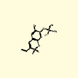 C=CC1=Cc2cc(C(C)=O)c(O[Si](C(C)C)(C(C)C)C(C)C)cc2OC1(C)C